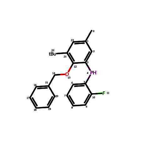 Cc1cc(Pc2ccccc2F)c(OCc2ccccc2)c(C(C)(C)C)c1